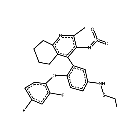 CCSNc1ccc(Oc2ccc(F)cc2F)c(-c2c3c(nc(C)c2N=S(=O)=O)CCCC3)c1